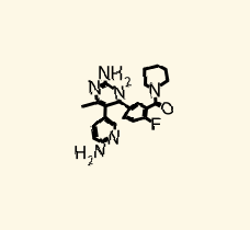 Cc1nc(N)nc(-c2ccc(F)c(C(=O)N3CCCCC3)c2)c1-c1ccc(N)nc1